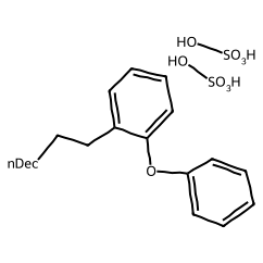 CCCCCCCCCCCCc1ccccc1Oc1ccccc1.O=S(=O)(O)O.O=S(=O)(O)O